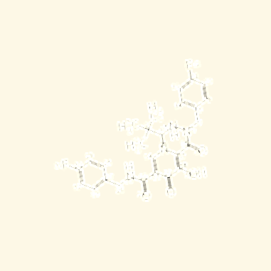 CC(C)(C)C1NN(Cc2ccc(F)cc2)C(=O)c2c(O)c(=O)c(C(=O)NCc3ccc(F)cc3)cn21